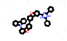 C1=CCC(C2NC(c3ccccc3)=NC(c3ccc4oc5ccc(-c6ccc7oc8cccc(-n9c%10c(c%11ccccc%119)C=CCC%10)c8c7c6)cc5c4c3)N2)C=C1